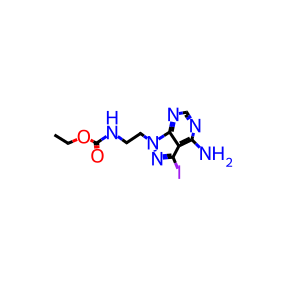 CCOC(=O)NCCn1nc(I)c2c(N)ncnc21